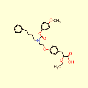 CCOC(Cc1ccc(OCCN(CCCCc2ccccc2)C(=O)Oc2ccc(OC)cc2)cc1)C(=O)O